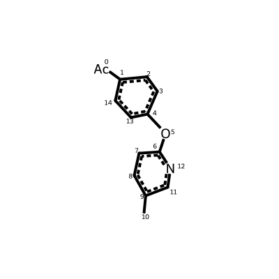 CC(=O)c1ccc(Oc2ccc(C)cn2)cc1